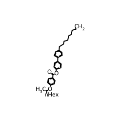 C=CCCCCCCCc1ccc(-c2ccc(OC(=O)c3ccc(OC(C)CCCCCC)cc3)cc2)cc1